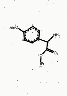 COc1ccc(C(N)C(=O)OC(C)C)cc1